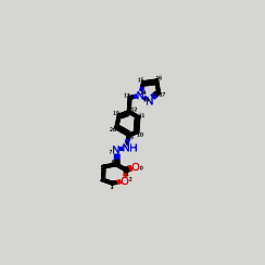 O=C1OCCCC1=NNc1ccc(Cn2cccn2)cc1